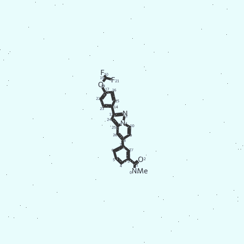 CNC(=O)c1cccc(-c2ccn3nc(-c4ccc(OC(F)F)cc4)cc3c2)c1